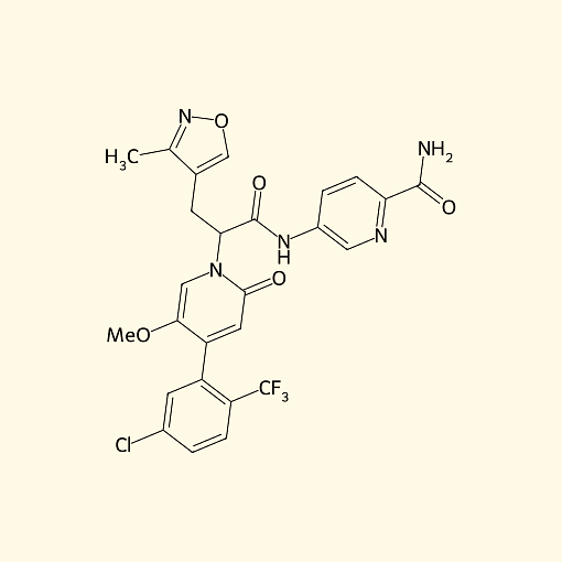 COc1cn(C(Cc2conc2C)C(=O)Nc2ccc(C(N)=O)nc2)c(=O)cc1-c1cc(Cl)ccc1C(F)(F)F